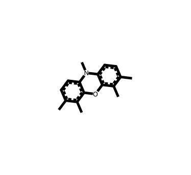 Cc1ccc2c(c1C)Oc1c(ccc(C)c1C)N2C